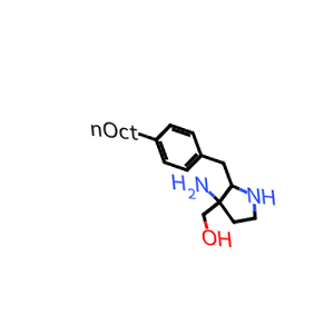 CCCCCCCCc1ccc(CC2NCCC2(N)CO)cc1